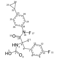 O=C(O)NC(I)(Cc1ccc(F)cc1)C(=O)N(F)c1ccc(C2CC2)cc1